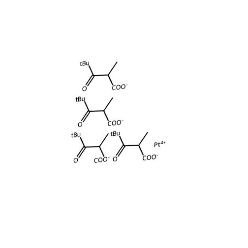 CC(C(=O)[O-])C(=O)C(C)(C)C.CC(C(=O)[O-])C(=O)C(C)(C)C.CC(C(=O)[O-])C(=O)C(C)(C)C.CC(C(=O)[O-])C(=O)C(C)(C)C.[Pt+4]